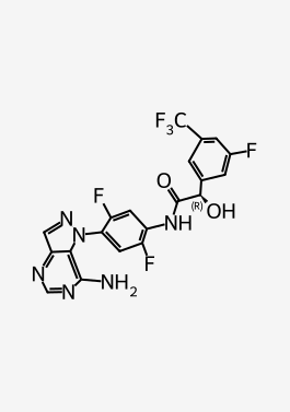 Nc1ncnc2cnn(-c3cc(F)c(NC(=O)[C@H](O)c4cc(F)cc(C(F)(F)F)c4)cc3F)c12